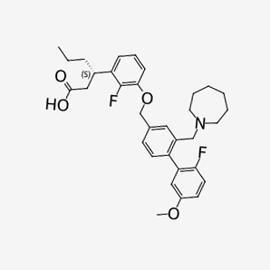 CCC[C@@H](CC(=O)O)c1cccc(OCc2ccc(-c3cc(OC)ccc3F)c(CN3CCCCCC3)c2)c1F